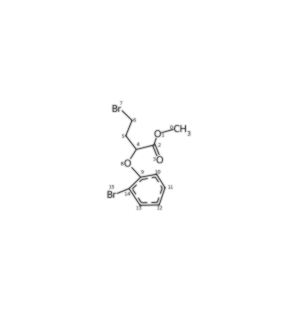 COC(=O)C(CCBr)Oc1ccccc1Br